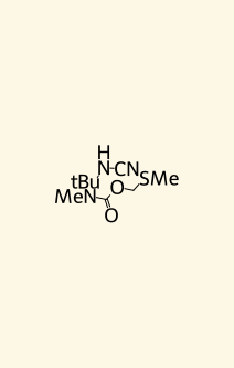 CC(C)(C)NC#N.CNC(=O)OCSC